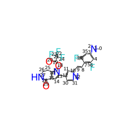 CN(C)c1cc(F)c(C=Cc2cc(-c3cc4c(n3OC(=O)C(F)(F)F)CCNC4=O)ccn2)c(F)c1